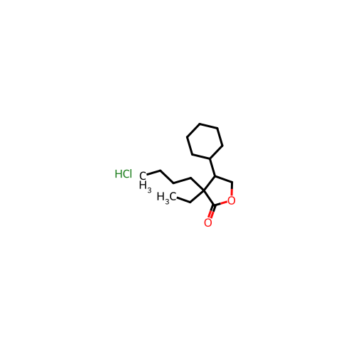 CCCCC1(CC)C(=O)OCC1C1CCCCC1.Cl